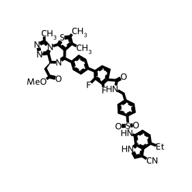 CCc1ccc(NS(=O)(=O)c2ccc(CNC(=O)c3ccc(-c4ccc(C5=N[C@@H](CC(=O)OC)c6nnc(C)n6-c6sc(C)c(C)c65)cc4)c(F)c3F)cc2)c2[nH]cc(C#N)c12